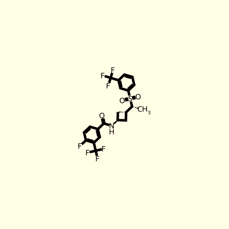 C[C@H]([C@H]1C[C@H](NC(=O)c2ccc(F)c(C(F)(F)F)c2)C1)S(=O)(=O)c1cccc(C(F)(F)F)c1